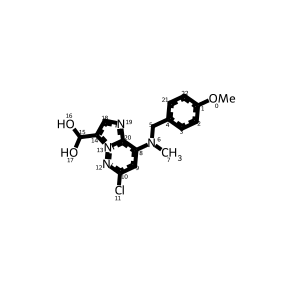 COc1ccc(CN(C)c2cc(Cl)nn3c(C(O)O)cnc23)cc1